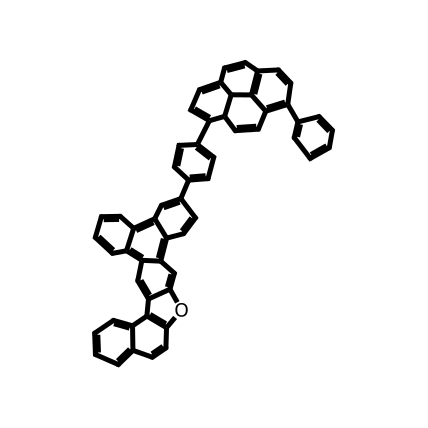 C1=Cc2ccc(-c3ccccc3)c3c2C2C1=CC=C(c1ccc(-c4ccc5c(c4)c4ccccc4c4cc6c(cc54)oc4ccc5ccccc5c46)cc1)C2C=C3